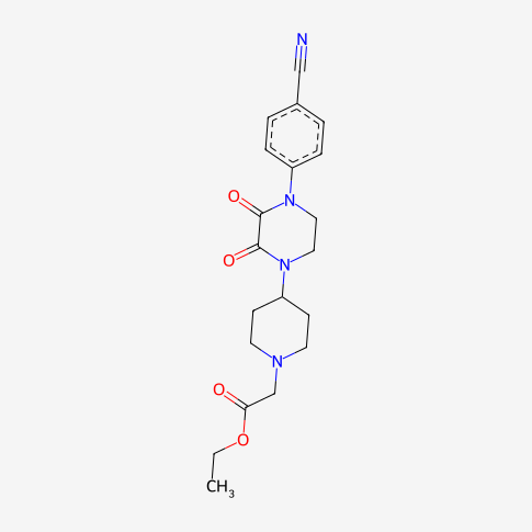 CCOC(=O)CN1CCC(N2CCN(c3ccc(C#N)cc3)C(=O)C2=O)CC1